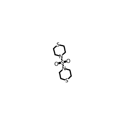 O=S(=O)(N1CCSCC1)N1CCSCC1